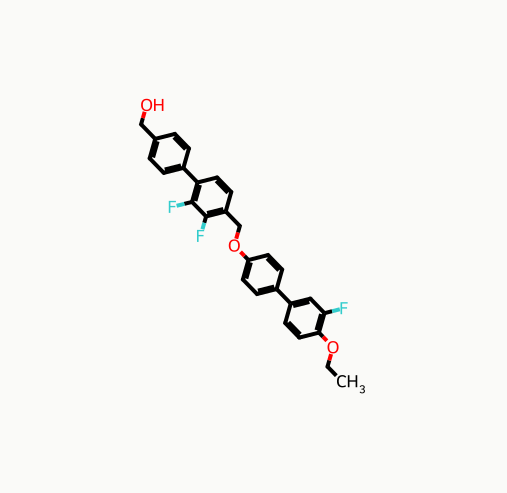 CCOc1ccc(-c2ccc(OCc3ccc(-c4ccc(CO)cc4)c(F)c3F)cc2)cc1F